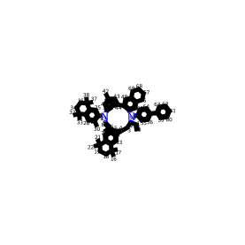 C=CC1CC2CC(C)=C(c3cc4c(cc32)C(C)(C)CCC4(C)C)N(c2cc3c(cc2C)C(C)(C)CCC3(C)C)c2cc(C)cc(c2C)-c2cc3c(cc2N1c1ccc(-c2ccccc2)cc1)CCCC3